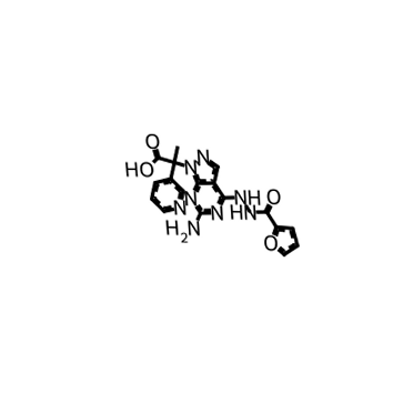 CC(C(=O)O)(c1cccnc1)n1ncc2c(NNC(=O)c3ccco3)nc(N)nc21